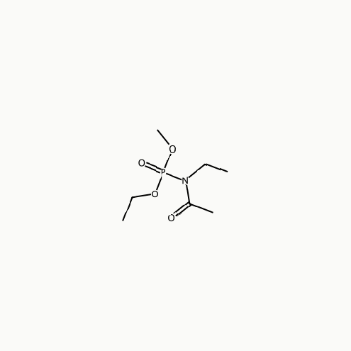 CCOP(=O)(OC)N(CC)C(C)=O